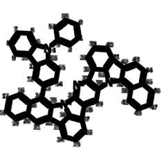 c1ccc(-n2c3ccccc3c3cc(-c4c5ccccc5cc5c6cccc7c8cc9c(nc8n(c45)c76)c4cccc5c6ccc7ccccc7c6n9c54)ccc32)cc1